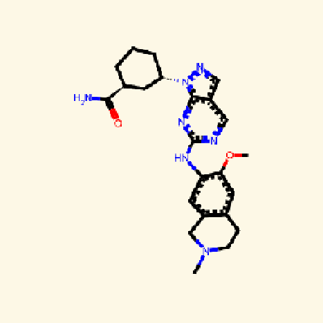 COc1cc2c(cc1Nc1ncc3cnn([C@H]4CCC[C@H](C(N)=O)C4)c3n1)CN(C)CC2